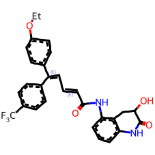 CCOc1ccc(/C(=C/C=C/C(=O)Nc2cccc3c2CC(O)C(=O)N3)c2ccc(C(F)(F)F)cc2)cc1